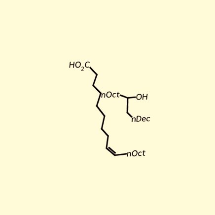 CCCCCCCC/C=C\CCCCCCCC(=O)O.CCCCCCCCCCCC(O)CCCCCCCC